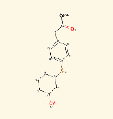 COC(=O)Cc1ccc(SC2CCCC(O)C2)cc1